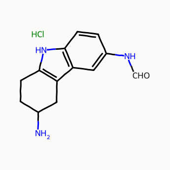 Cl.NC1CCc2[nH]c3ccc(NC=O)cc3c2C1